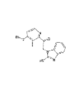 CCSc1ccnc(C(=O)Cn2c(S)nc3ccccc32)c1C